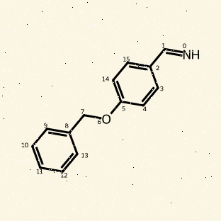 N=Cc1ccc(OCc2ccccc2)cc1